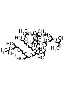 COC(CO)COC(CO)COC(COCC(CO)OCC(COCC(CO)OCCOCC(CO)COC(C)C)OCC(COCC(CO)OCC(C)C)OCCCO)COC(CO)C(C)(C)OC(CO)C(C)C